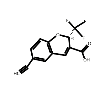 C#Cc1ccc2c(c1)C=C(C(=O)O)[C@@H](C(F)(F)F)O2